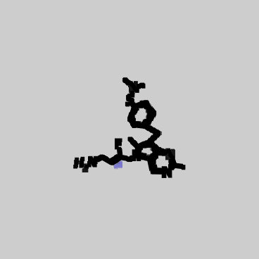 Cc1ncc2c(n1)c(Cc1ccc(SN(C)C)cc1)c(C)n2C/C(F)=C/CN